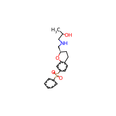 CC(O)CNC[C@H]1CCc2ccc(S(=O)(=O)c3ccccc3)cc2O1